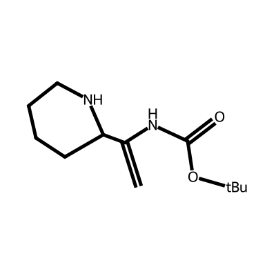 C=C(NC(=O)OC(C)(C)C)C1CCCCN1